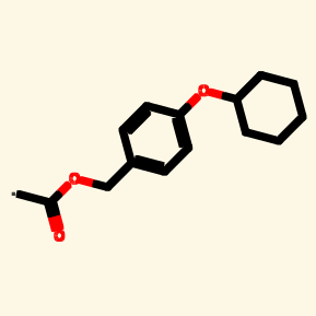 [CH2]C(=O)OCc1ccc(OC2CCCCC2)cc1